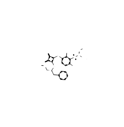 COC[C@H](Cc1ccccc1)Nc1c(Nc2ccc(Cl)c(S(=O)(=O)N(C)OC)c2O)c(=O)c1=O